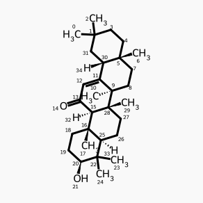 CC1(C)CC[C@]2(C)CC[C@]3(C)C(=CC(=O)[C@@H]4[C@@]5(C)CC[C@H](O)C(C)(C)[C@@H]5CC[C@]43C)[C@@H]2C1